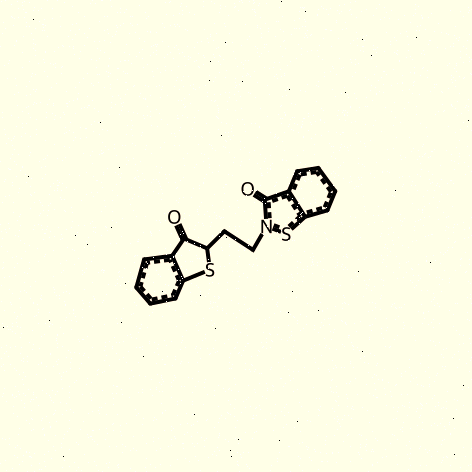 O=C1c2ccccc2SC1CCn1sc2ccccc2c1=O